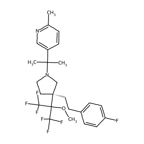 COC(C(F)(F)F)(C(F)(F)F)[C@@]1(CCc2ccc(F)cc2)CCN(C(C)(C)c2ccc(C)nc2)C1